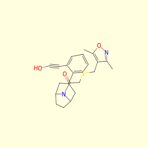 Cc1noc(C)c1CSCC(=O)N1C2CCC1CC(c1ccccc1C#CO)C2